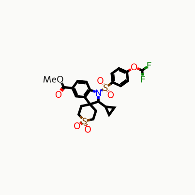 COC(=O)c1ccc2c(c1)C1(CCS(=O)(=O)CC1)C(C1CC1)N2S(=O)(=O)c1ccc(OC(F)F)cc1